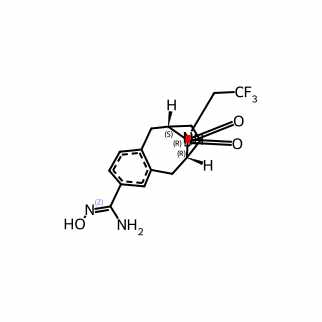 N/C(=N\O)c1ccc2c(c1)C[C@H]1CC[C@@H](C2)[C@]12CN(CC(F)(F)F)S(=O)(=O)N2